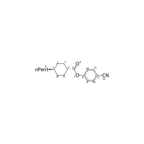 CCCCC[C@H]1CC[C@H](C(=O)Oc2ccc(C#N)cc2)CC1